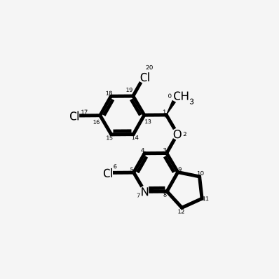 C[C@@H](Oc1cc(Cl)nc2c1CCC2)c1ccc(Cl)cc1Cl